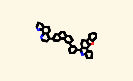 c1cc(-c2ccc3ccc4cc(-c5ccnc6c5ccc5cccnc56)ccc4c3c2)cc(-c2nc3ccccc3c3c2ccc2c4ccccc4oc23)c1